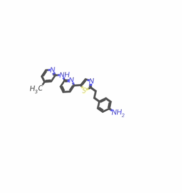 Cc1ccnc(Nc2cccc(-c3cnc(CCc4ccc(N)cc4)s3)n2)c1